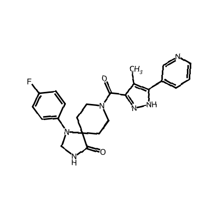 Cc1c(C(=O)N2CCC3(CC2)C(=O)NCN3c2ccc(F)cc2)n[nH]c1-c1cccnc1